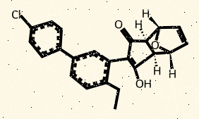 CCc1ccc(-c2ccc(Cl)cc2)cc1C1=C(O)[C@H]2[C@@H](C1=O)[C@@H]1C=C[C@H]2O1